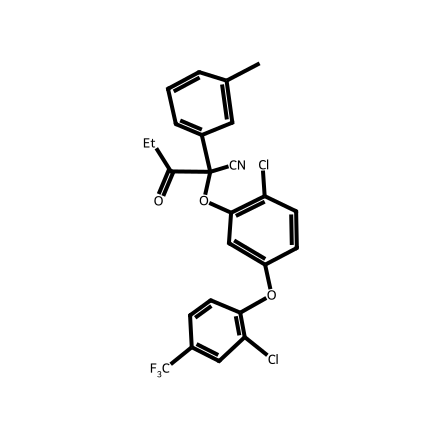 CCC(=O)C(C#N)(Oc1cc(Oc2ccc(C(F)(F)F)cc2Cl)ccc1Cl)c1cccc(C)c1